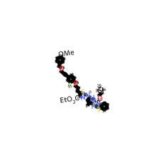 CCOC(=O)c1nc(N(C)c2cc(C)c(N=c3sc4ccccc4n3COCC[Si](C)(C)C)nn2)sc1CCCOc1ccc(C#CCOCc2ccc(OC)cc2)cc1F